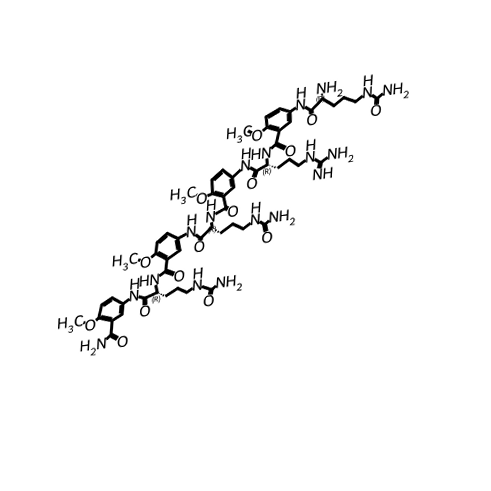 COc1ccc(NC(=O)[C@@H](CCCNC(N)=O)NC(=O)c2cc(NC(=O)[C@@H](CCCNC(N)=O)NC(=O)c3cc(NC(=O)[C@@H](CCCNC(=N)N)NC(=O)c4cc(NC(=O)[C@H](N)CCCNC(N)=O)ccc4OC)ccc3OC)ccc2OC)cc1C(N)=O